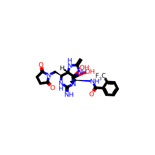 C=C1N[C@H]2[C@H](CN3C(=O)CCC3=O)NC(=N)N3C[C@H](NC(=O)c4ccccc4C(F)(F)F)C(O)(O)[C@]23N1